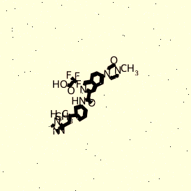 CC(Cc1nncn1C)c1cccc(NC(=O)c2cc3cc(N4CCN(C)C(=O)C4)ccc3cn2)c1.O=C(O)C(F)(F)F